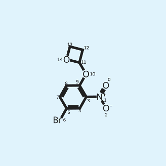 O=[N+]([O-])c1cc(Br)ccc1OC1CCO1